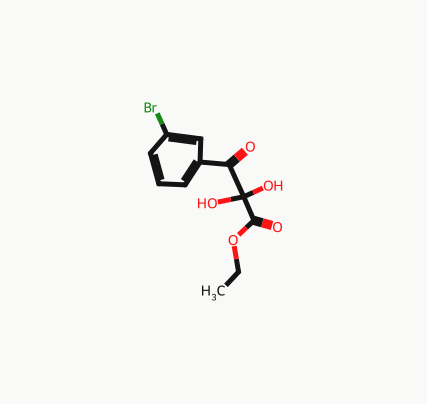 CCOC(=O)C(O)(O)C(=O)c1cccc(Br)c1